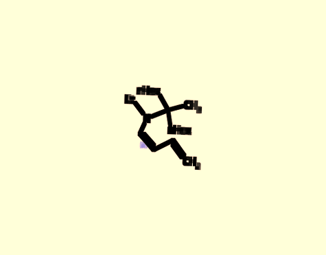 C=C/C=C\N(CC)C(C)(CCCCCC)CCCCCC